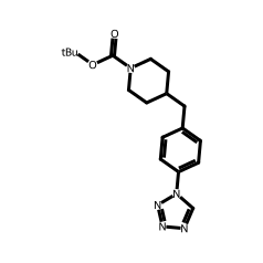 CC(C)(C)OC(=O)N1CCC(Cc2ccc(-n3cnnn3)cc2)CC1